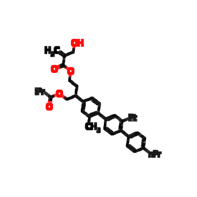 C=C(CO)C(=O)OCCC(COC(=O)C(C)C)c1ccc(-c2ccc(-c3ccc(CCC)cc3)c(CC)c2)c(C)c1